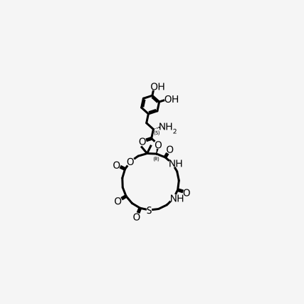 CC1(C)COC(=O)CCC(=O)CC(=O)SCCNC(=O)CCNC(=O)[C@@H]1OC(=O)[C@@H](N)Cc1ccc(O)c(O)c1